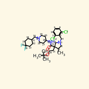 CC1CN(Cc2c(Cl)cccc2Cl)CC1(CC(=O)OC(C)(C)C)C(=O)NC1CCN(CC2CCC(F)(F)CC2)CC1